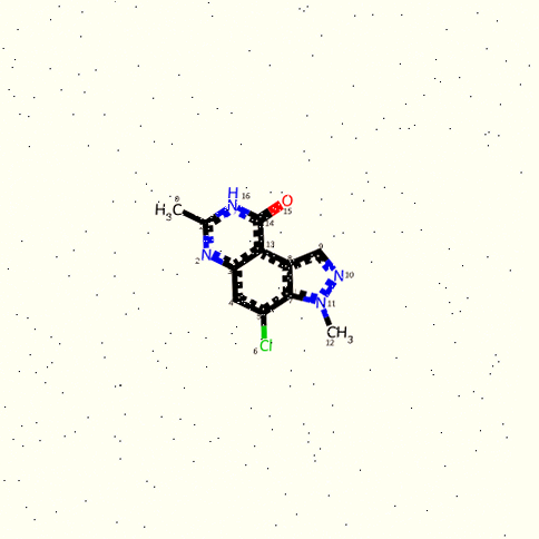 Cc1nc2cc(Cl)c3c(cnn3C)c2c(=O)[nH]1